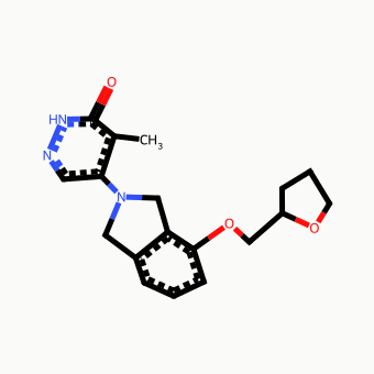 Cc1c(N2Cc3cccc(OCC4CCCO4)c3C2)cn[nH]c1=O